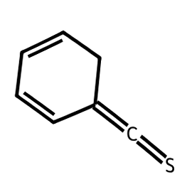 S=C=C1C=CC=CC1